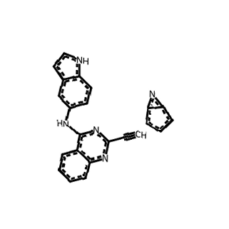 C#Cc1nc(Nc2ccc3[nH]ccc3c2)c2ccccc2n1.c1cc2nc-2c1